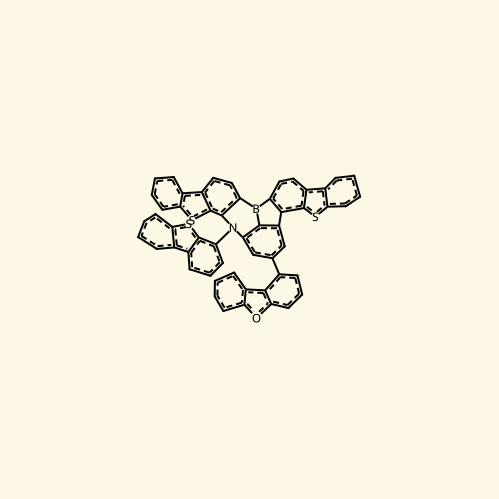 c1ccc2c(c1)oc1cccc(-c3cc4c5c(c3)N(c3cccc6c3sc3ccccc36)c3c(ccc6c3sc3ccccc36)B5c3ccc5c(sc6ccccc65)c3-4)c12